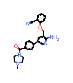 CN1CCN(C(=O)c2ccc(-c3cnc(N)c(COc4ccccc4C#N)c3)cc2)CC1